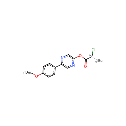 CCCCCCCCCCOc1ccc(-c2cnc(OC(=O)[C@@H](Cl)[C@@H](C)CC)cn2)cc1